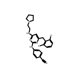 N#Cc1ccc(Nc2nc(Cc3c(Cl)cccc3Cl)cc(NCCN3CCCC3)n2)cc1